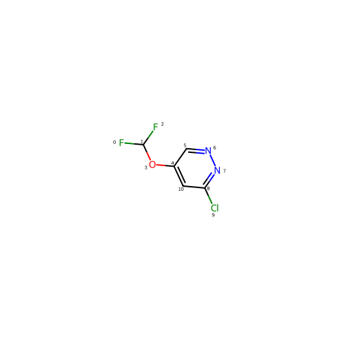 FC(F)Oc1cnnc(Cl)c1